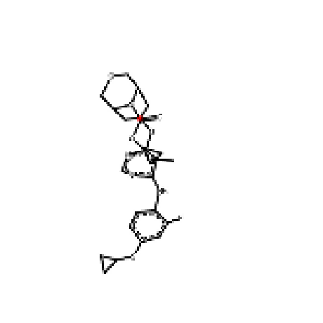 Cc1c(Nc2ccc(SC3CC3)cc2F)ncnc1OC1CC2COCC(C1)N2C(=O)OC1CC1